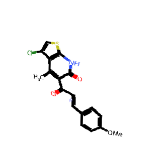 COc1ccc(/C=C/C(=O)c2c(C)c3c(Cl)csc3[nH]c2=O)cc1